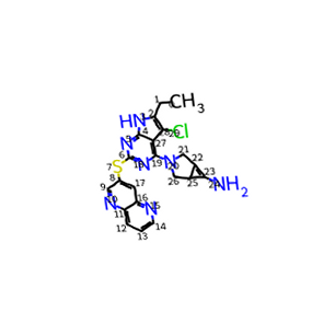 CCc1[nH]c2nc(Sc3cnc4cccnc4c3)nc(N3CC4=C(N)C4C3)c2c1Cl